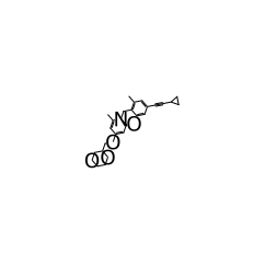 Cc1cc(C#CC2CC2)ccc1Cn1c(C)cc(OCC2COCCO2)cc1=O